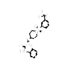 O=C(Nc1ccccc1F)ON=C1CCN(S(=O)(=O)c2cccc(C(F)(F)F)c2)CC1